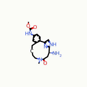 COC(=O)Nc1ccc2c(c1)CCCCN(C)C(=O)C[C@H](N)c1nc-2c[nH]1